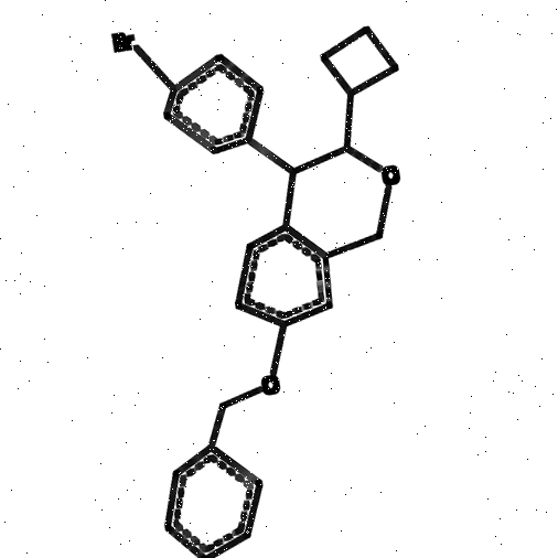 Brc1ccc(C2c3ccc(OCc4ccccc4)cc3COC2C2CCC2)cc1